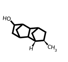 C[C@@H]1CC2C[C@H]1C1C3CC(O)C(C3)C21